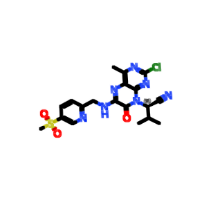 Cc1nc(Cl)nc2c1nc(NCc1ccc(S(C)(=O)=O)cn1)c(=O)n2[C@@H](C#N)C(C)C